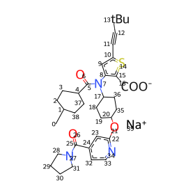 CC1CCC(C(=O)N(c2cc(C#CC(C)(C)C)sc2C(=O)[O-])C2CCC(Oc3cc(C(=O)N4CCCC4)ccn3)CC2)CC1.[Na+]